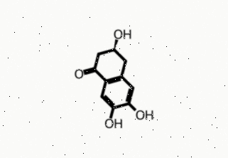 O=C1C[C@@H](O)Cc2cc(O)c(O)cc21